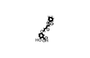 O=C(CCOc1ccc(O)c(C(=O)O)c1)CCS(=O)(=O)c1ccccc1